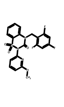 COc1cccc(N2C(=O)N(Cc3c(F)cc(F)cc3F)c3ccccc3S2(=O)=O)n1